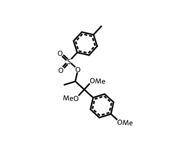 COc1ccc(C(OC)(OC)C(C)OS(=O)(=O)c2ccc(C)cc2)cc1